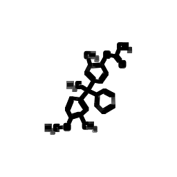 COc1ccc(C(C)(c2ccccc2)c2ccc(OC(C)=O)c(C)c2)cc1C